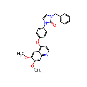 COc1cc2nccc(Oc3ccc(-n4ccn(Cc5ccccc5)c4=O)cc3)c2cc1OC